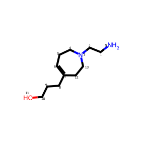 NCCN1CCC=C(CCCO)CC1